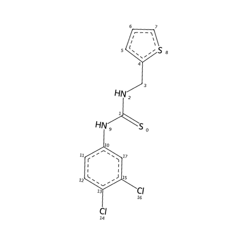 S=C(NCc1cccs1)Nc1ccc(Cl)c(Cl)c1